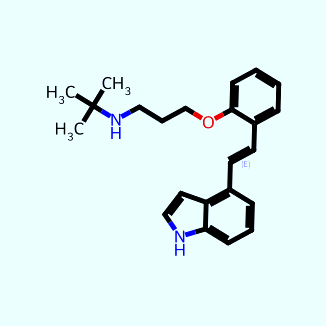 CC(C)(C)NCCCOc1ccccc1/C=C/c1cccc2[nH]ccc12